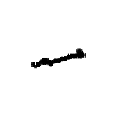 NCCc1ccc(O)c(/N=N/c2ccc(C(=O)NCCCOCCOCCOCCOCCOCCCNCCCCCn3c(NC=O)nc4ccccc43)cc2)c1